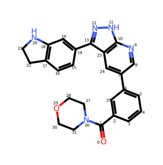 O=C(c1cccc(-c2cnc3[nH]nc(-c4ccc5c(c4)NCC5)c3c2)c1)N1CCOCC1